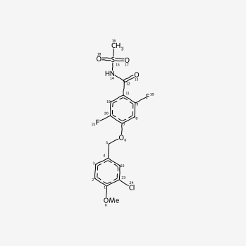 COc1ccc(COc2cc(F)c(C(=O)NS(C)(=O)=O)cc2F)cc1Cl